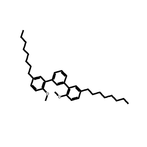 CCCCCCCCc1ccc(OC)c(-c2cccc(-c3cc(CCCCCCCC)ccc3OC)c2)c1